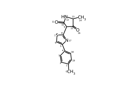 Cc1ccc(-c2csc(C3C(=O)NC(C)C3=O)n2)cc1